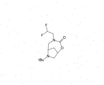 CC(C)(C)N1CC2CC1CN(CC(F)F)C(=O)O2